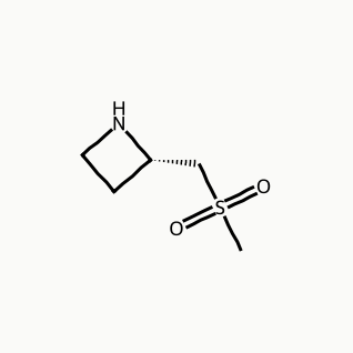 CS(=O)(=O)C[C@@H]1CCN1